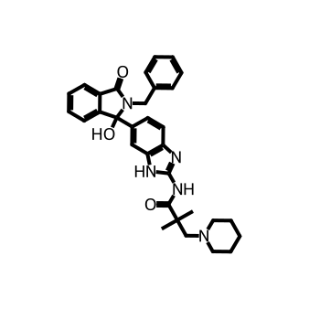 CC(C)(CN1CCCCC1)C(=O)Nc1nc2ccc(C3(O)c4ccccc4C(=O)N3Cc3ccccc3)cc2[nH]1